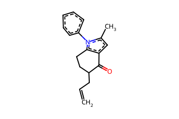 C=CCC1CCc2c(cc(C)n2-c2ccccc2)C1=O